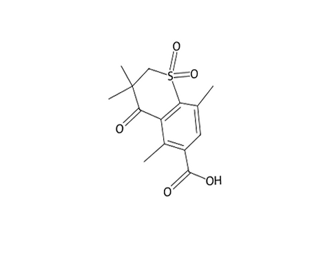 Cc1cc(C(=O)O)c(C)c2c1S(=O)(=O)CC(C)(C)C2=O